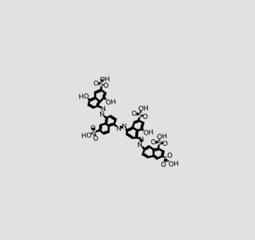 O=S(=O)(O)c1cc(S(=O)(=O)O)c2cc(N=Nc3ccc(N=Nc4ccc(N=Nc5ccc(O)c6cc(S(=O)(=O)O)cc(O)c56)c5cc(S(=O)(=O)O)ccc45)c4cc(S(=O)(=O)O)cc(O)c34)ccc2c1